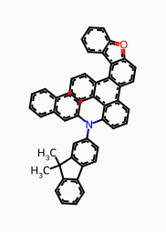 CC1(C)c2ccccc2-c2ccc(N(c3ccc4ccccc4c3)c3cccc4c5ccc6oc7ccccc7c6c5c5ccccc5c34)cc21